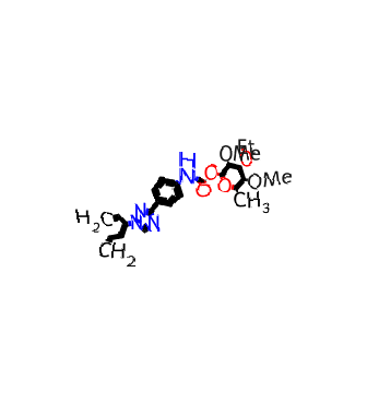 C=C/C=C(\C=C)n1cnc(-c2ccc(NC(=O)O[C@@H]3O[C@@H](C)[C@H](OC)[C@@H](OCC)[C@H]3OC)cc2)n1